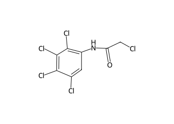 O=C(CCl)Nc1cc(Cl)c(Cl)c(Cl)c1Cl